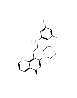 O=c1cc(N2CCOCC2)c(CCNc2cc(F)cc(F)c2)c2oc[c]cc1-2